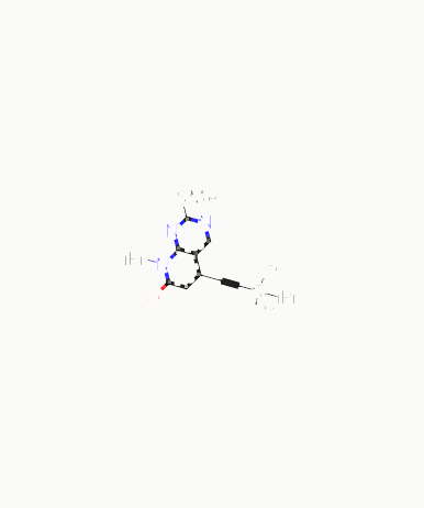 CSc1ncc2c(C#C[Si](C(C)C)(C(C)C)C(C)C)cc(=O)n(C(C)C)c2n1